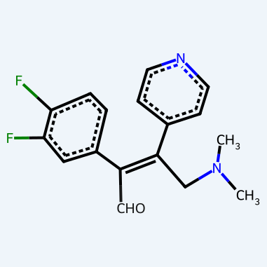 CN(C)CC(=C(C=O)c1ccc(F)c(F)c1)c1ccncc1